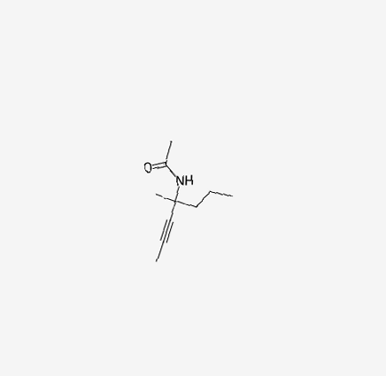 CC#CC(C)(CCC)NC(C)=O